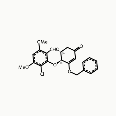 COc1cc(OC)c(C=O)c(O[C@@H]2C(OCc3ccccc3)=CC(=O)C[C@H]2C)c1Cl